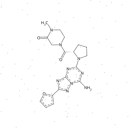 CN1CCN(C(=O)[C@@H]2CCCN2c2nc(N)n3nc(-c4ccco4)nc3n2)CC1=O